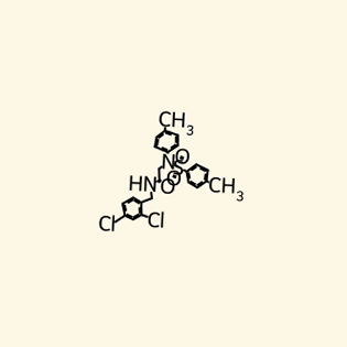 Cc1ccc(N(CC(=O)NCc2ccc(Cl)cc2Cl)S(=O)(=O)c2ccc(C)cc2)cc1